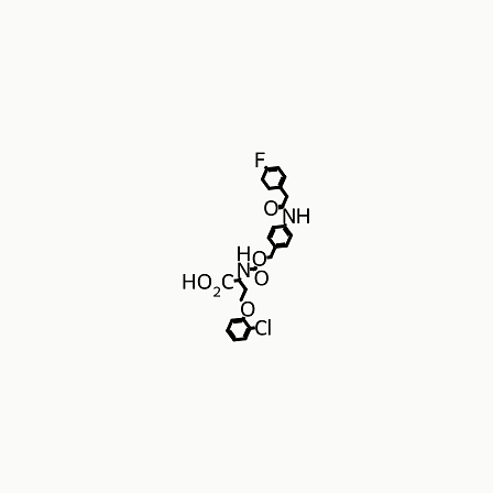 O=C(CC1=CC=C(F)CC1)Nc1ccc(COC(=O)NC(CCOc2ccccc2Cl)C(=O)O)cc1